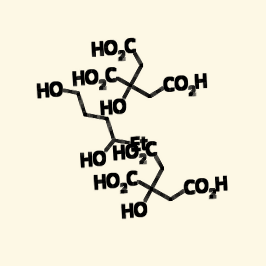 CCC(O)CCCO.O=C(O)CC(O)(CC(=O)O)C(=O)O.O=C(O)CC(O)(CC(=O)O)C(=O)O